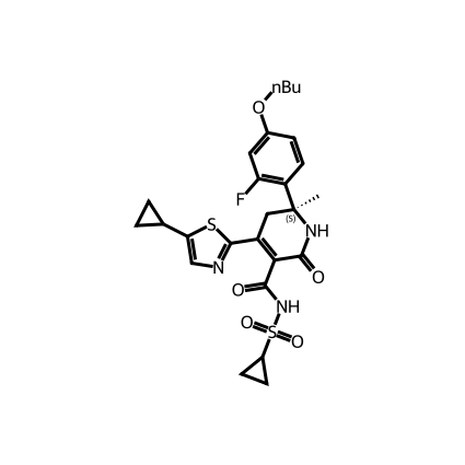 CCCCOc1ccc([C@]2(C)CC(c3ncc(C4CC4)s3)=C(C(=O)NS(=O)(=O)C3CC3)C(=O)N2)c(F)c1